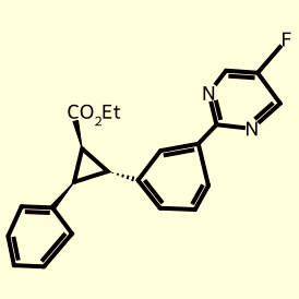 CCOC(=O)[C@@H]1[C@H](c2ccccc2)[C@H]1c1cccc(-c2ncc(F)cn2)c1